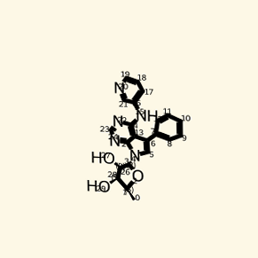 C[C@@H]1O[C@@H](n2cc(-c3ccccc3)c3c(Nc4cccnc4)ncnc32)[C@H](O)[C@@H]1O